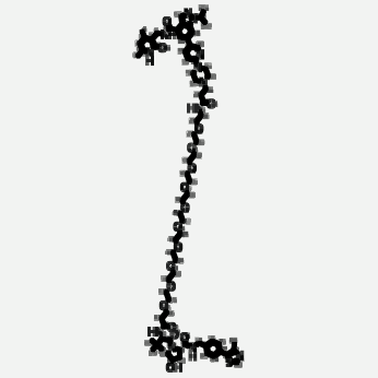 Cc1cc(C)c(CNC(=O)c2cc(-c3ccc(N4CCN(CCC(=O)NCCOCCOCCOCCOCCOCCOCCOCCOCCOCCOCCC(=O)N[C@H](C(=O)N5C[C@H](O)C[C@H]5C(=O)NCc5ccc(-c6scnc6C)cc5)C(C)(C)C)CC4)nc3)cc3c2cnn3C(C)C)c(=O)[nH]1